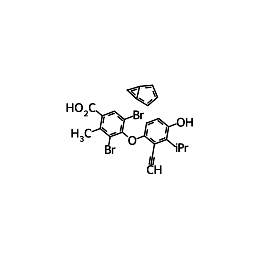 C#Cc1c(Oc2c(Br)cc(C(=O)O)c(C)c2Br)ccc(O)c1C(C)C.c1cc2cc-2c1